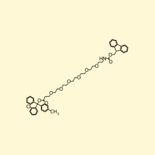 Cc1ccc(C(OC(=O)CCOCCOCCOCCOCCOCCOCCNC(=O)OCC2c3ccccc3-c3ccccc32)(c2ccccc2)c2ccccc2Cl)cc1